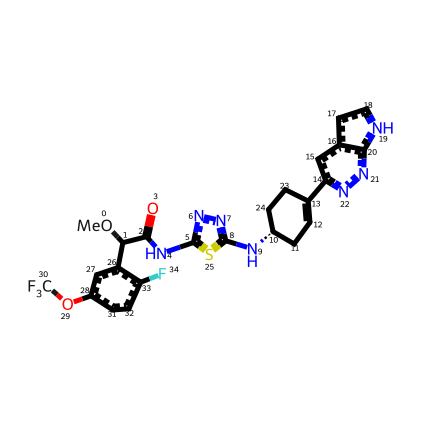 COC(C(=O)Nc1nnc(N[C@H]2CC=C(c3cc4cc[nH]c4nn3)CC2)s1)c1cc(OC(F)(F)F)ccc1F